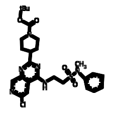 CN(c1ccccc1)S(=O)(=O)CCNc1nc(C2CCN(C(=O)OC(C)(C)C)CC2)nc2cnc(Cl)cc12